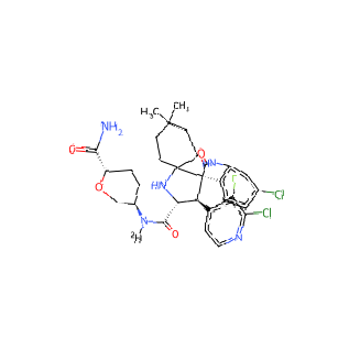 [2H]N(C(=O)[C@@H]1NC2(CCC(C)(C)CC2)[C@@]2(C(=O)Nc3cc(Cl)ccc32)[C@H]1c1ccnc(Cl)c1F)[C@@H]1CC[C@@H](C(N)=O)OC1